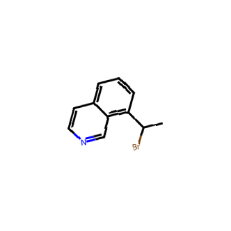 CC(Br)c1cccc2ccncc12